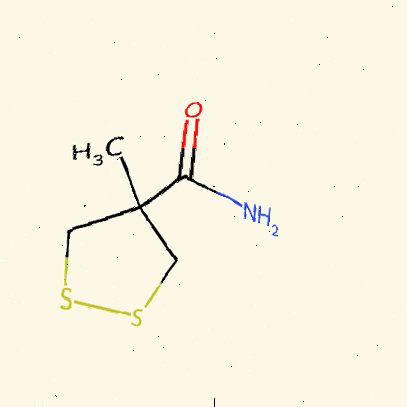 CC1(C(N)=O)CSSC1